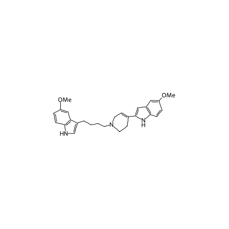 COc1ccc2[nH]c(C3=CCN(CCCCc4c[nH]c5ccc(OC)cc45)CC3)cc2c1